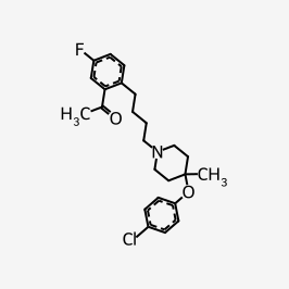 CC(=O)c1cc(F)ccc1CCCCN1CCC(C)(Oc2ccc(Cl)cc2)CC1